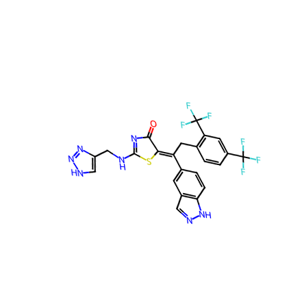 O=C1N=C(NCc2c[nH]nn2)SC1=C(Cc1ccc(C(F)(F)F)cc1C(F)(F)F)c1ccc2[nH]ncc2c1